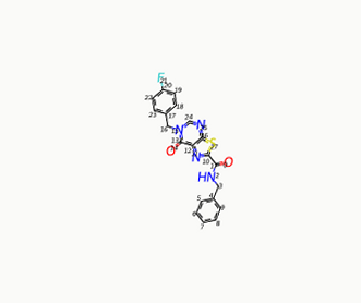 O=C(NCc1ccccc1)c1nc2c(=O)n(Cc3ccc(F)cc3)cnc2s1